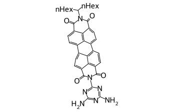 CCCCCCC(CCCCCC)N1C(=O)c2ccc3c4ccc5c6c(ccc(c7ccc(c2c37)C1=O)c64)C(=O)N(c1nc(N)nc(N)n1)C5=O